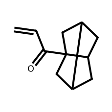 C=CC(=O)C12CC3CC1CC3C2